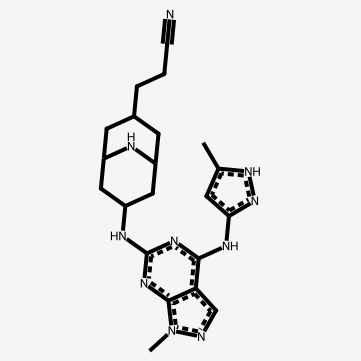 Cc1cc(Nc2nc(NC3CC4CC(CCC#N)CC(C3)N4)nc3c2cnn3C)n[nH]1